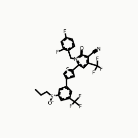 CCC[S+]([O-])c1cc(-c2csc(-c3cc(C(F)(F)F)c(C#N)c(=O)n3Cc3ccc(F)cc3F)c2)cc(C(F)(F)F)c1